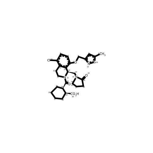 Cc1cc(COc2ccc(Cl)c3c2[C@@H](CN2CCCC2=O)N(C(=O)[C@@H]2CCCC[C@@H]2C(=O)O)CC3)ns1